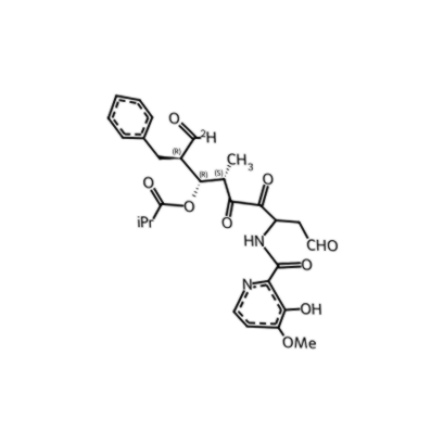 [2H]C(=O)[C@H](Cc1ccccc1)[C@@H](OC(=O)C(C)C)[C@H](C)C(=O)C(=O)C(CC=O)NC(=O)c1nccc(OC)c1O